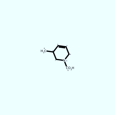 CC1C=CCN(C(=O)O)C1